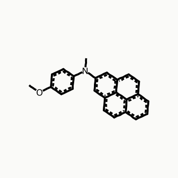 COc1ccc(N(C)c2cc3ccc4cccc5ccc(c2)c3c45)cc1